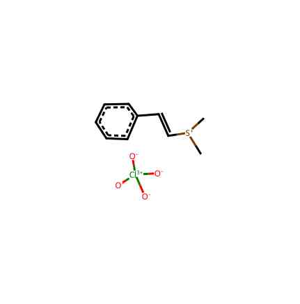 C[S+](C)C=Cc1ccccc1.[O-][Cl+3]([O-])([O-])[O-]